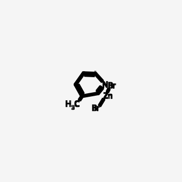 Cc1cc[c]nc1.[Br][Zn][Br]